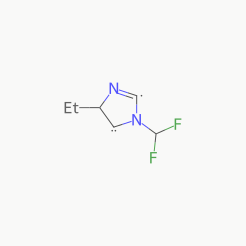 CCC1[C]N(C(F)F)[C]=N1